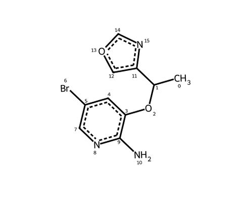 CC(Oc1cc(Br)cnc1N)c1cocn1